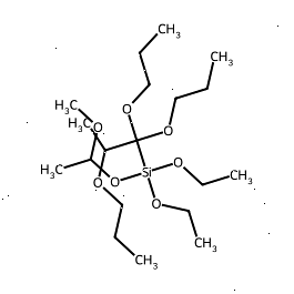 CCCOC(C)C(OCCC)(OCCC)[Si](OCC)(OCC)OC(C)OC